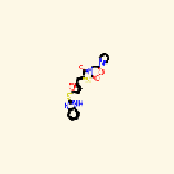 O=C(CN1C(=O)SC(=Cc2ccc(Sc3nc4ccccc4[nH]3)o2)C1=O)N1CCCC1